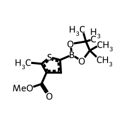 COC(=O)c1cc(B2OC(C)(C)C(C)(C)O2)sc1C